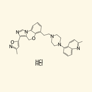 Cc1cc(-c2ncn3c2COc2c(CCN4CCN(c5cccc6nc(C)ccc56)CC4)cccc2-3)on1.Cl.Cl